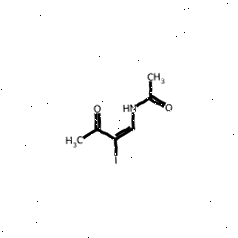 CC(=O)N/C=C(/I)C(C)=O